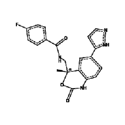 C[C@]1(CNC(=O)c2ccc(F)cc2)OC(=O)Nc2ccc(-c3ccn[nH]3)cc21